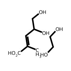 CC(=CC(O)CO)C(=O)O.OCCO